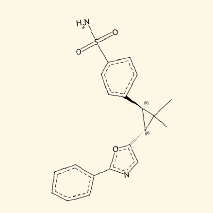 CC1(C)[C@H](c2ccc(S(N)(=O)=O)cc2)[C@H]1c1cnc(-c2ccccc2)o1